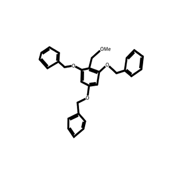 [CH2]OCc1c(OCc2ccccc2)cc(OCc2ccccc2)cc1OCc1ccccc1